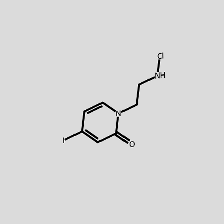 O=c1cc(I)ccn1CCNCl